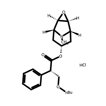 CCCCOC[C@@H](C(=O)O[C@@H]1C[C@@H]2[C@H]3O[C@H]3[C@H](C1)N2C)c1ccccc1.Cl